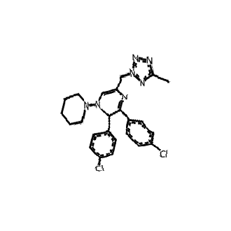 Cc1nnn(CC2=CN(N3CCCCC3)C(c3ccc(Cl)cc3)C(c3ccc(Cl)cc3)=N2)n1